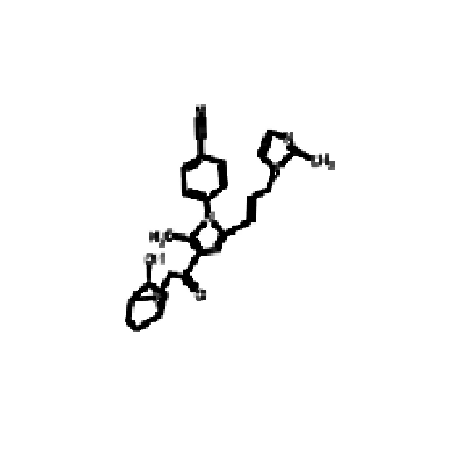 Cc1nccn1C/C=C/c1cc(C(=O)CN2C3CCC2[C@@H](O)C3)c(C)n1-c1ccc(C#N)cc1